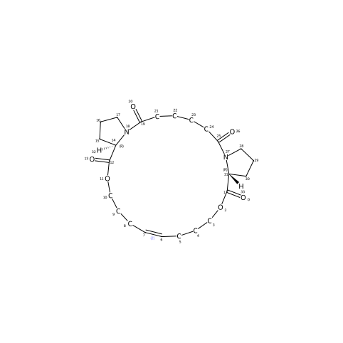 O=C1OCCC/C=C\CCCOC(=O)[C@H]2CCCN2C(=O)CCCCC(=O)N2CCC[C@H]12